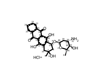 C[C@H]1O[C@@H](O[C@H]2CC(C)(O)Cc3c(O)c4c(c(O)c32)C(=O)c2ccccc2C4=O)C[C@H](N)[C@H]1O.Cl